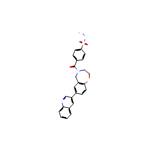 CC(C)NS(=O)(=O)c1ccc(C(=O)N2CCOc3ccc(-c4cnc5ccccc5c4)cc3C2)cc1